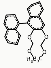 COCOc1cc2ccccc2c(-c2cccc3ccccc23)c1OCOC